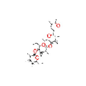 CCC1OC(CCC(C)C(C)=O)C(C)[C@@H](C)[C@@H]1O[C@@H]1OC(CC)[C@H](O[C@H]2OC(CC)[C@H](C)[C@H](C)C2C)[C@H](C)C1C